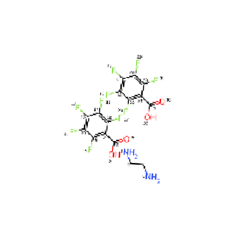 NCCN.O=C(O)c1c(F)c(F)c(F)c(F)c1F.O=C(O)c1c(F)c(F)c(F)c(F)c1F